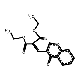 CCOC(=O)C(=Cc1coc2ccccc2c1=O)C(=O)OCC